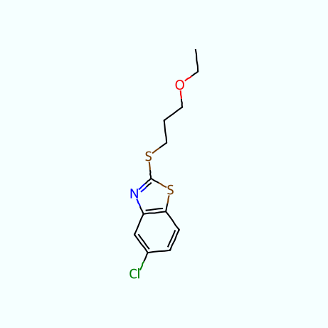 CCOCCCSc1nc2cc(Cl)ccc2s1